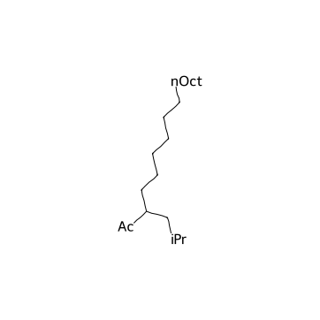 CCCCCCCCCCCCCCC(CC(C)C)C(C)=O